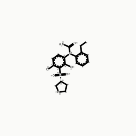 CCc1ccccc1N(C(N)=O)c1ccc(Cl)c(S(=O)(=O)[C@@H]2CCNC2)c1O